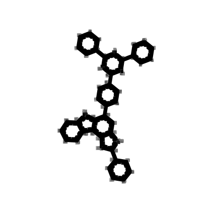 c1ccc(-c2nc(-c3ccccc3)nc(-c3ccc(-c4cc5nc(-c6ccccc6)sc5c5c4oc4ccccc45)cc3)n2)cc1